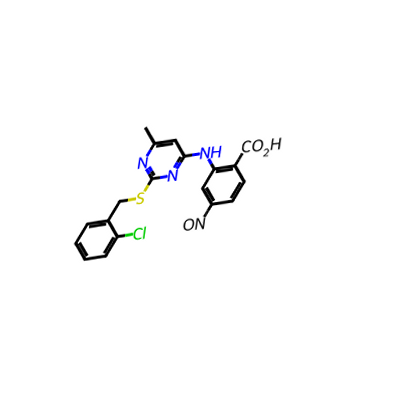 Cc1cc(Nc2cc(N=O)ccc2C(=O)O)nc(SCc2ccccc2Cl)n1